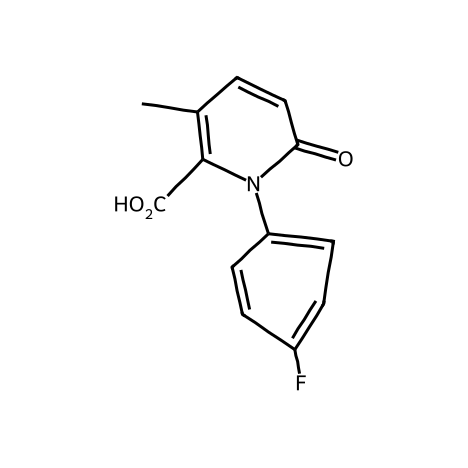 Cc1ccc(=O)n(-c2ccc(F)cc2)c1C(=O)O